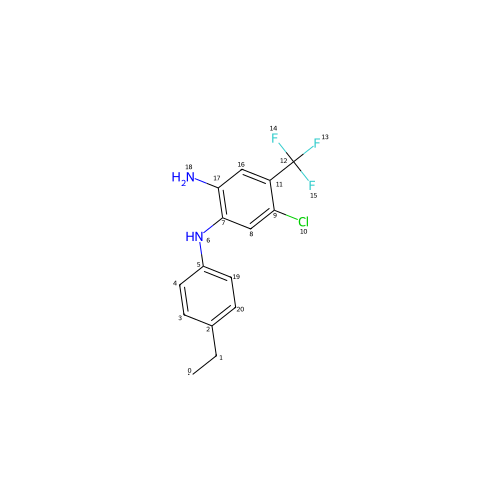 [CH2]Cc1ccc(Nc2cc(Cl)c(C(F)(F)F)cc2N)cc1